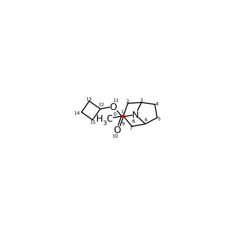 CC1CC2CCC(C1)N2C(=O)OC1CCC1